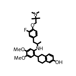 COc1cc(NC(C)Cc2ccc(OCC(C)(C)N(C)C)c(F)c2)c(C2CCc3cc(O)ccc3C2)cc1OC